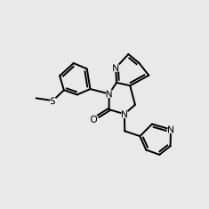 CSc1cccc(N2C(=O)N(Cc3cccnc3)Cc3cccnc32)c1